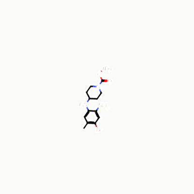 Cc1cc(NC2CCN(C(=O)OC(C)(C)C)CC2)c(N)cc1Br